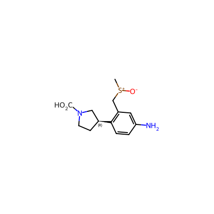 C[S+]([O-])Cc1cc(N)ccc1[C@H]1CCN(C(=O)O)C1